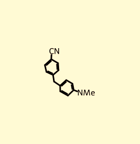 CNc1ccc(Cc2ccc(C#N)cc2)cc1